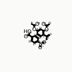 C=C(C)c1ccc(OC(C)=O)cc1OC(C)=O.O=C(O)c1ccc([N+](=O)[O-])cc1